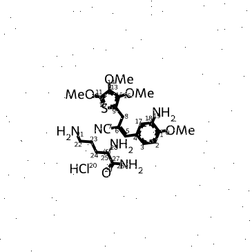 COc1ccc(C=C(C#N)Cc2sc(OC)c(OC)c2OC)cc1N.Cl.NCCC[C@H](N)C(N)=O